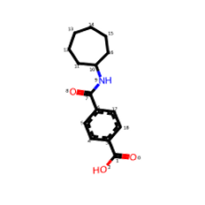 O=C(O)c1ccc(C(=O)NC2CCCCCC2)cc1